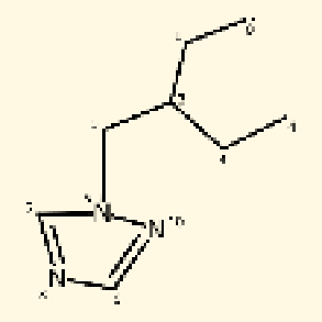 [CH2]CC(CC)Cn1cncn1